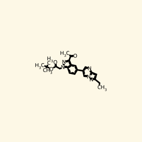 CCc1cc2ncc(-c3ccc4c(c3)c(C(C)=O)nn4CC(=O)OC(C)(C)C)cn2n1